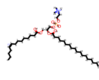 CCCC/C=C\CCCCCCCC(=O)OC[C@H](COP(=O)([O-])OCC[N+](C)(C)C)OC(=O)CCCCCCCCCCCCCCCCC